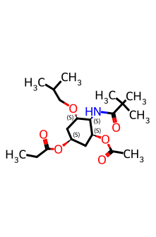 CCC(=O)O[C@H]1C[C@H](OCC(C)C)[C@H](NC(=O)C(C)(C)C)[C@@H](OC(C)=O)C1